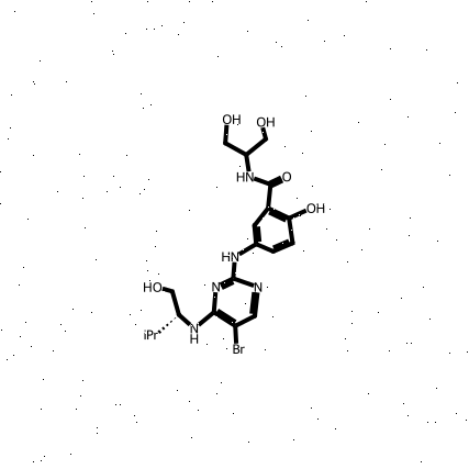 CC(C)[C@H](CO)Nc1nc(Nc2ccc(O)c(C(=O)NC(CO)CO)c2)ncc1Br